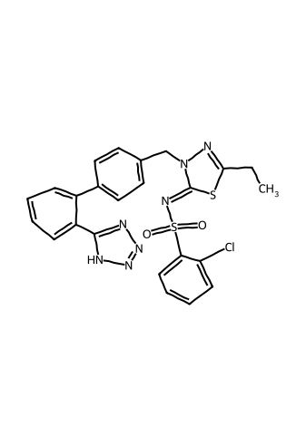 CCc1nn(Cc2ccc(-c3ccccc3-c3nnn[nH]3)cc2)c(=NS(=O)(=O)c2ccccc2Cl)s1